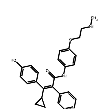 CNCCOc1ccc(NC(=O)/C(=C(\c2ccc(O)cc2)C2CC2)c2ccccc2)cc1